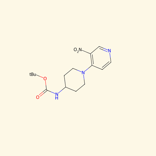 CC(C)(C)OC(=O)NC1CCN(c2ccncc2[N+](=O)[O-])CC1